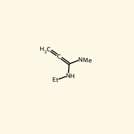 C=C=C(NC)NCC